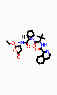 CCO[C@H]1OC(=O)C[C@@H]1NC(=O)C1[C@H]2CCC(C2)N1C(=O)[C@@H](NC(=O)c1nccc2ccccc12)C(C)(C)C